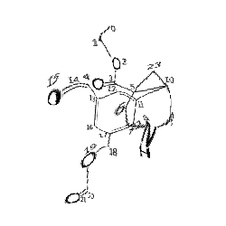 CCOC(=O)C12CCNCC1(c1cc(C=O)cc(COC=O)c1)C2